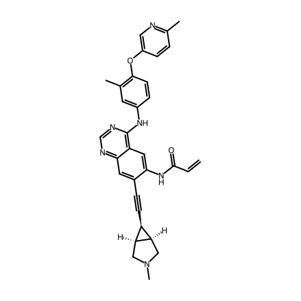 C=CC(=O)Nc1cc2c(Nc3ccc(Oc4ccc(C)nc4)c(C)c3)ncnc2cc1C#C[C@H]1[C@H]2CN(C)C[C@@H]12